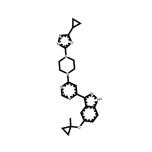 CC1(Oc2ccc3[nH]nc(-c4cc(N5CCN(c6nnc(C7CC7)o6)CC5)ncn4)c3c2)CC1